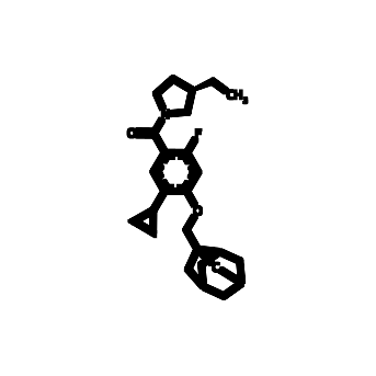 CC[C@@H]1CCN(C(=O)c2cc(C3CC3)c(OCC34CC5CC(CC3C5)C4)cc2F)C1